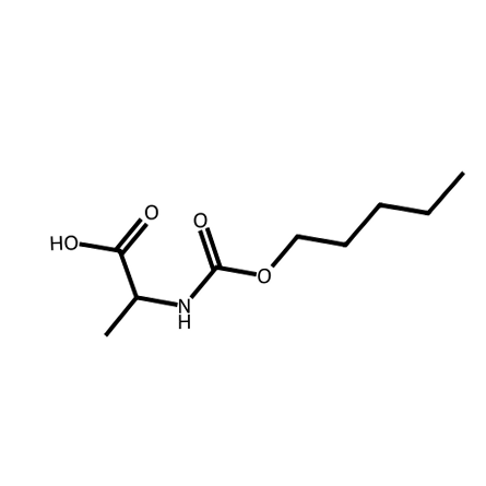 CCCCCOC(=O)NC(C)C(=O)O